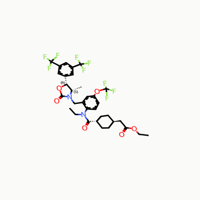 CCOC(=O)C[C@H]1CC[C@H](C(=O)N(CC)c2ccc(OC(F)(F)F)cc2CN2C(=O)O[C@H](c3cc(C(F)(F)F)cc(C(F)(F)F)c3)[C@@H]2C)CC1